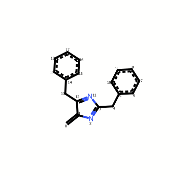 C=C1N=C(Cc2ccccc2)N=C1Cc1ccccc1